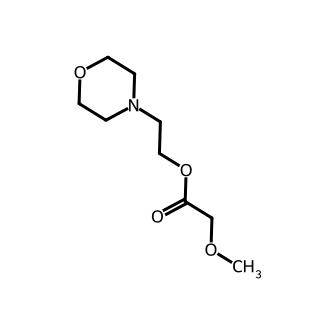 COCC(=O)OCCN1CCOCC1